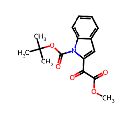 COC(=O)C(=O)c1cc2ccccc2n1C(=O)OC(C)(C)C